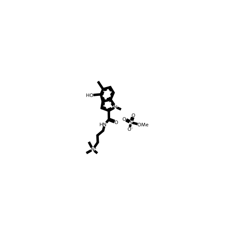 COS(=O)(=O)[O-].Cc1ccc2c(cc(C(=O)NCCC[N+](C)(C)C)n2C)c1O